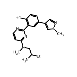 CCC(N)CN(C)c1ccnc(-c2cc(-c3cnn(C)c3)ccc2O)n1